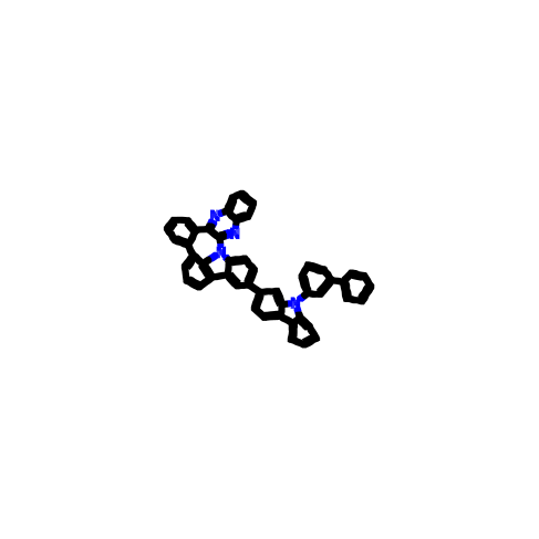 c1ccc(-c2cccc(-n3c4ccccc4c4ccc(-c5ccc6c(c5)c5cccc7c5n6-c5nc6ccccc6nc5-c5ccccc5-7)cc43)c2)cc1